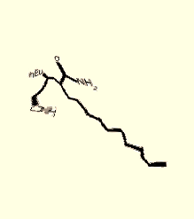 C=CCCCCCCCCC(C(N)=O)C(CO)CCCC